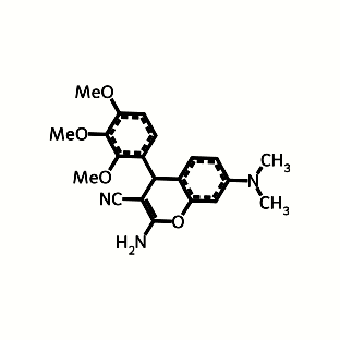 COc1ccc(C2C(C#N)=C(N)Oc3cc(N(C)C)ccc32)c(OC)c1OC